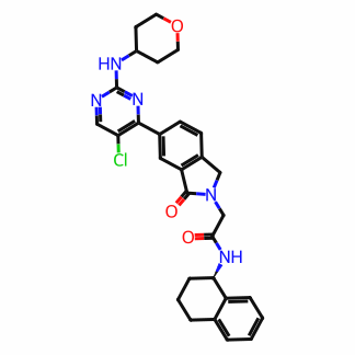 O=C(CN1Cc2ccc(-c3nc(NC4CCOCC4)ncc3Cl)cc2C1=O)N[C@@H]1CCCc2ccccc21